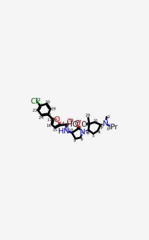 CC(C)N(C)[C@@H]1CC[C@H](N2CCC(NC(=O)c3ccc(-c4ccc(Cl)cc4)o3)C2=O)[C@@](C)(C(=O)O)C1